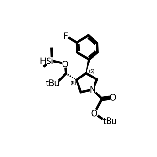 C[SiH](C)OC([C@H]1CN(C(=O)OC(C)(C)C)C[C@@H]1c1cccc(F)c1)C(C)(C)C